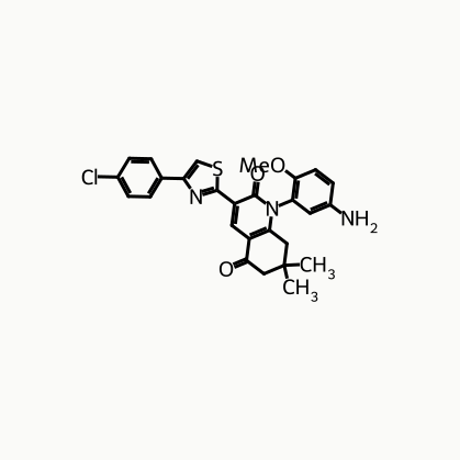 COc1ccc(N)cc1-n1c2c(cc(-c3nc(-c4ccc(Cl)cc4)cs3)c1=O)C(=O)CC(C)(C)C2